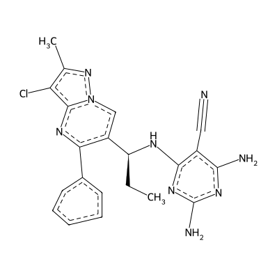 CC[C@H](Nc1nc(N)nc(N)c1C#N)c1cn2nc(C)c(Cl)c2nc1-c1ccccc1